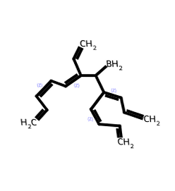 BC(/C(C=C)=C/C=C\C=C)C(/C=C\C=C)=C/C=C